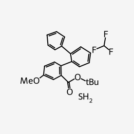 COc1ccc(-c2ccccc2-c2ccccc2)c(C(=O)OC(C)(C)C)c1.FC(F)F.S